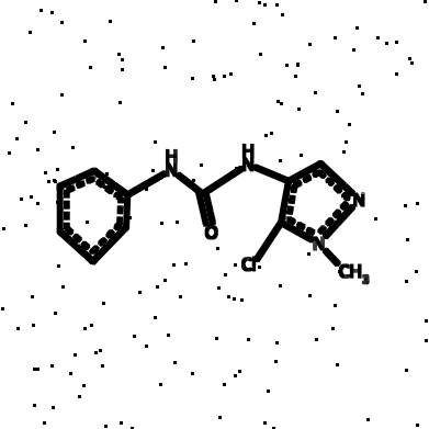 Cn1ncc(NC(=O)Nc2ccccc2)c1Cl